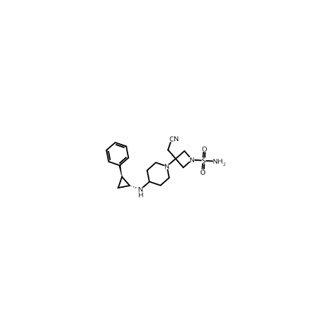 N#CCC1(N2CCC(N[C@@H]3C[C@H]3c3ccccc3)CC2)CN(S(N)(=O)=O)C1